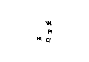 [C].[Ni].[P].[W]